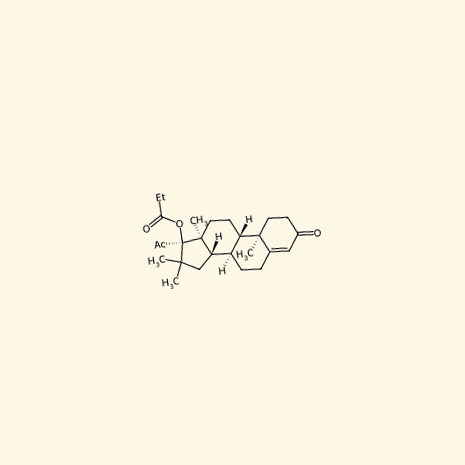 CCC(=O)O[C@]1(C(C)=O)C(C)(C)C[C@H]2[C@@H]3CCC4=CC(=O)CC[C@]4(C)[C@H]3CC[C@@]21C